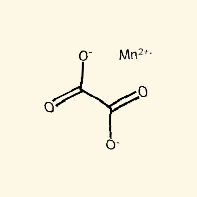 O=C([O-])C(=O)[O-].[Mn+2]